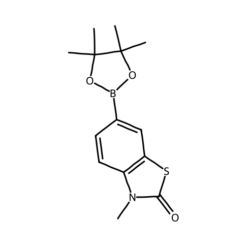 Cn1c(=O)sc2cc(B3OC(C)(C)C(C)(C)O3)ccc21